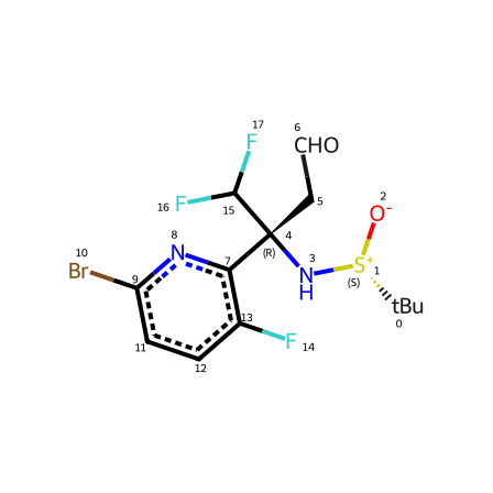 CC(C)(C)[S@@+]([O-])N[C@](CC=O)(c1nc(Br)ccc1F)C(F)F